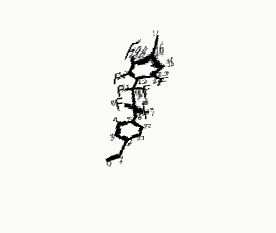 C=Cc1ccc(C(F)(F)C(F)(F)c2c(F)cc(C)c(F)c2F)cc1